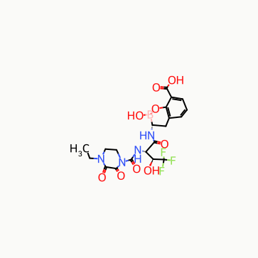 CCN1CCN(C(=O)N[C@H](C(=O)N[C@H]2Cc3cccc(C(=O)O)c3OB2O)[C@H](O)C(F)(F)F)C(=O)C1=O